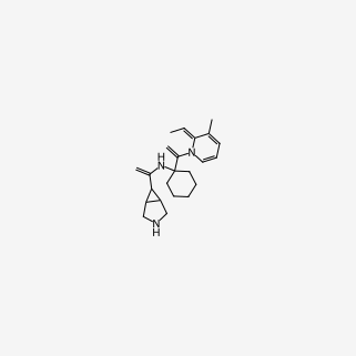 C=C(NC1(C(=C)N2C=CC=C(C)/C2=C/C)CCCCC1)C1C2CNCC21